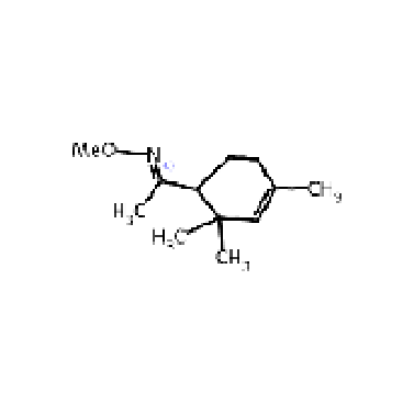 CO/N=C(\C)C1CCC(C)=CC1(C)C